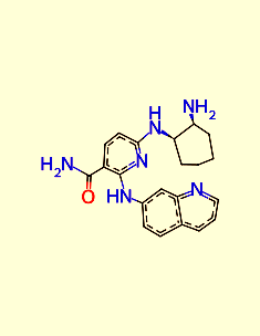 NC(=O)c1ccc(N[C@@H]2CCCC[C@@H]2N)nc1Nc1ccc2cccnc2c1